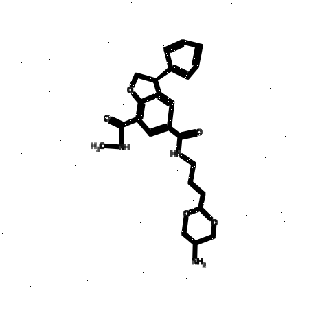 CNC(=O)c1cc(C(=O)NCCCC2OCC(N)CO2)cc2c1OC[C@H]2c1ccccc1